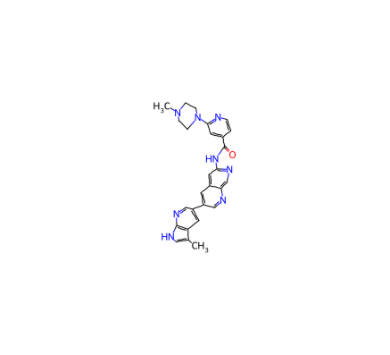 Cc1c[nH]c2ncc(-c3cnc4cnc(NC(=O)c5ccnc(N6CCN(C)CC6)c5)cc4c3)cc12